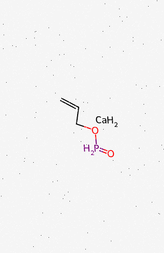 C=CCO[PH2]=O.[CaH2]